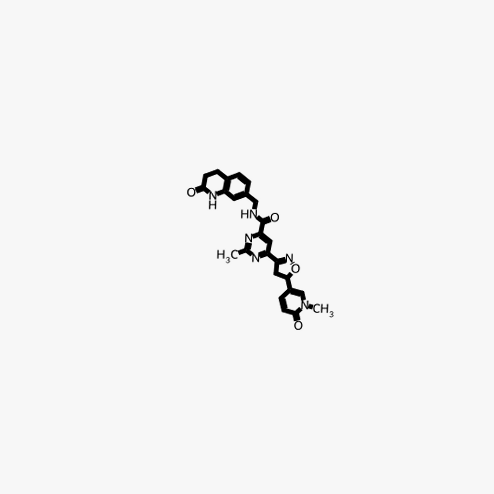 Cc1nc(C(=O)NCc2ccc3c(c2)NC(=O)CC3)cc(C2=NOC(c3ccc(=O)n(C)c3)C2)n1